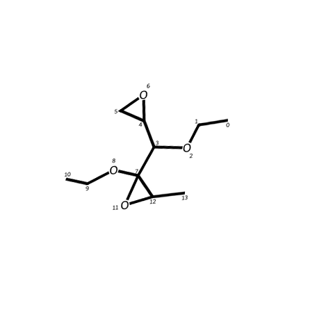 CCOC(C1CO1)C1(OCC)OC1C